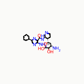 Nc1ncc(-c2ccccc2)nc1C(=O)Nc1cnccc1[C@@H]1C[C@H](N)[C@@H](O)[C@H](O)O1